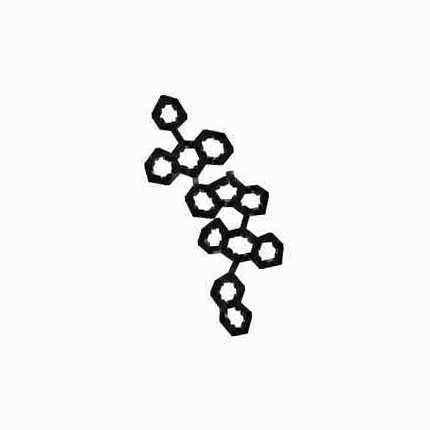 c1ccc(-c2c3ccccc3c(-c3cccc4c3sc3cccc(-c5c6ccccc6c(-c6ccc7ccccc7c6)c6ccccc56)c34)c3ccccc23)cc1